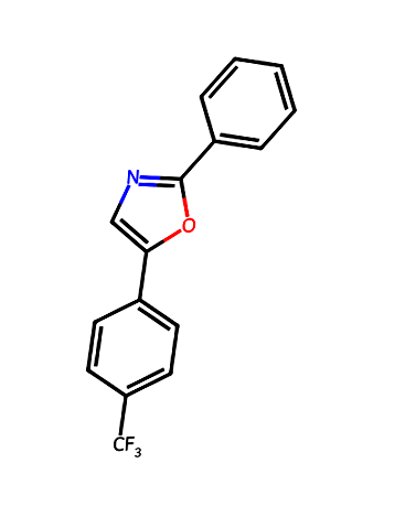 FC(F)(F)c1ccc(-c2cnc(-c3ccccc3)o2)cc1